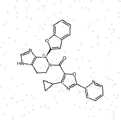 O=C(c1oc(-c2ccccn2)nc1C1CC1)N1CCc2[nH]cnc2[C@H]1c1cc2ccccc2o1